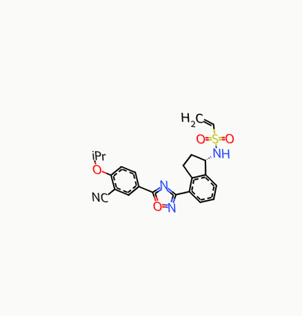 C=CS(=O)(=O)N[C@H]1CCc2c(-c3noc(-c4ccc(OC(C)C)c(C#N)c4)n3)cccc21